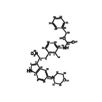 Cc1c(CC(c2c[nH]c3ccc(N4CCOCC4)cc23)[N+](=O)[O-])cccc1NC(=O)OCc1ccccc1